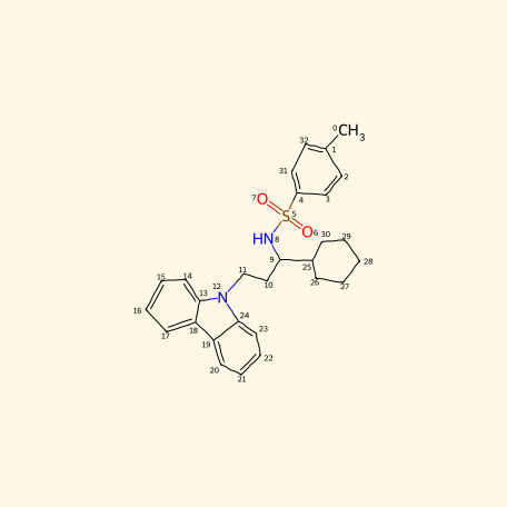 Cc1ccc(S(=O)(=O)NC(CCn2c3ccccc3c3ccccc32)C2CCCCC2)cc1